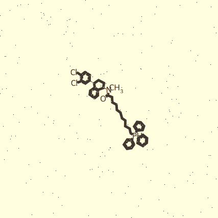 CN(C(=O)CCCCCCCCCC[PH](c1ccccc1)(c1ccccc1)c1ccccc1)[C@H]1CC[C@@H](c2ccc(Cl)c(Cl)c2)c2ccccc21